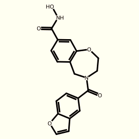 O=C(NO)c1ccc2c(c1)OCCN(C(=O)c1ccc3occc3c1)C2